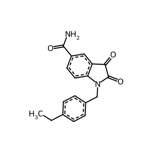 CCc1ccc(CN2C(=O)C(=O)c3cc(C(N)=O)ccc32)cc1